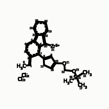 CC=c1ccc2c(c1C1=CC(OCO[Si](C)(C)C)=CC1)[C]([Zr+2])=c1ccccc1=2.[Cl-].[Cl-]